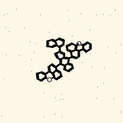 c1ccc2c(c1)Oc1cccc3c(-c4c5ccccc5c(-c5ccc6c7c(cccc57)Oc5ccccc5-6)c5cc(-c6cccc7ccccc67)ccc45)ccc-2c13